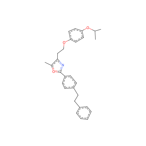 Cc1oc(-c2ccc(CCc3ccccc3)cc2)nc1CCOc1ccc(OC(C)C)cc1